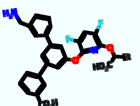 CCC(Oc1nc(Oc2cc(-c3cccc(CN)c3)cc(-c3cccc(C(=O)O)c3)c2)c(F)cc1F)C(=O)O